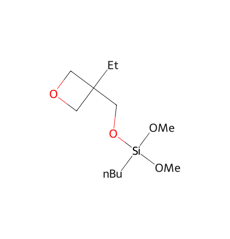 CCCC[Si](OC)(OC)OCC1(CC)COC1